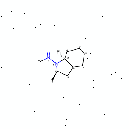 CNN1[C@H](C)CC2CCCC[C@@H]21